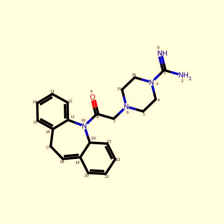 N=C(N)N1CCN(CC(=O)N2c3ccccc3CC=C3C=CC=CC32)CC1